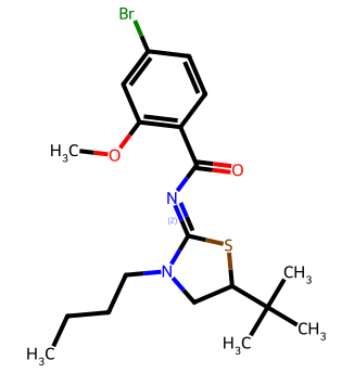 CCCCN1CC(C(C)(C)C)S/C1=N\C(=O)c1ccc(Br)cc1OC